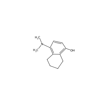 CN(C)c1ccc(O)c2c1CCCC2